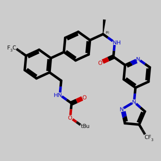 C[C@@H](NC(=O)c1cc(-n2cc(C(F)(F)F)cn2)ccn1)c1ccc(-c2cc(C(F)(F)F)ccc2CNC(=O)OC(C)(C)C)cc1